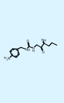 CCCC(=N)C(=O)CNC(=O)NCc1ccc(N)cc1